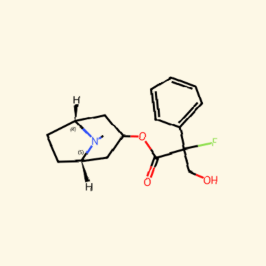 CN1[C@@H]2CC[C@H]1CC(OC(=O)C(F)(CO)c1ccccc1)C2